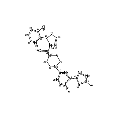 Cc1nnc(-c2nc(N3CCN(C(=O)N4N=CCC4c4ncccc4Cl)CC3)ncc2F)s1